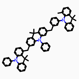 Cc1cccc2c1N(c1cccc(Cc3ccc4c(c3)N(c3ccccc3)c3cc(Cc5cccc6c5C(C)(C)c5ccccc5N6c5ccccc5)ccc3C4(C)C)c1)c1ccccc1C2(C)C